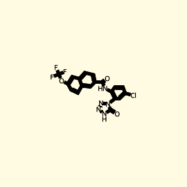 O=C(Nc1ccc(Cl)cc1-n1nn[nH]c1=O)c1ccc2cc(OC(F)(F)F)ccc2c1